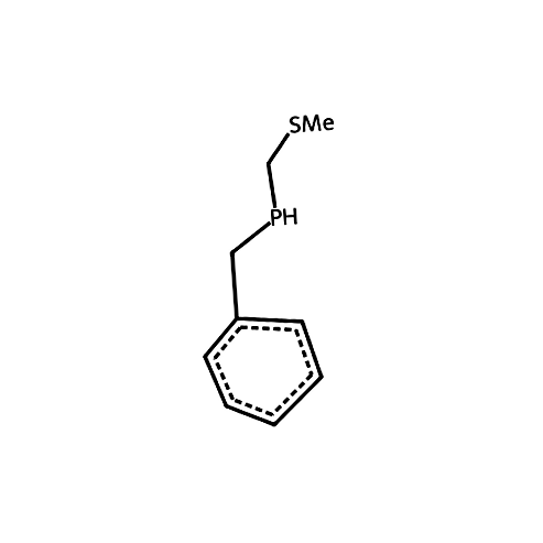 CSCPCc1ccccc1